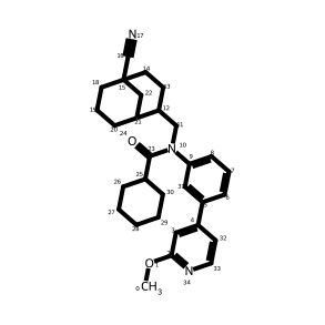 COc1cc(-c2cccc(N(CC3CCC4(C#N)CCCC3C4)C(=O)C3CCCCC3)c2)ccn1